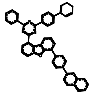 C1=CC(c2ccc(-c3nc(-c4ccccc4)nc(-c4cccc5oc6c(-c7ccc(-c8ccc9ccccc9c8)cc7)cccc6c45)n3)cc2)=CCC1